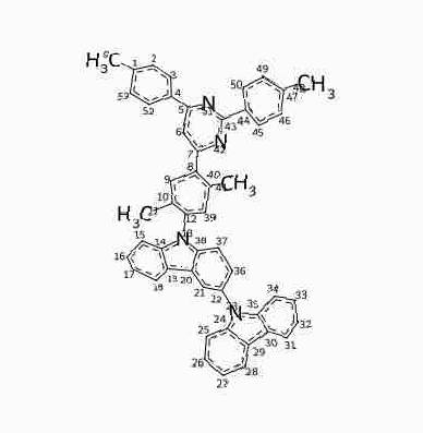 Cc1ccc(-c2cc(-c3cc(C)c(-n4c5ccccc5c5cc(-n6c7ccccc7c7ccccc76)ccc54)cc3C)nc(-c3ccc(C)cc3)n2)cc1